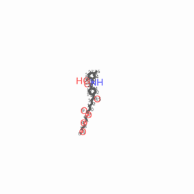 COCCOCCOC(=O)CCCCC(=O)c1ccc(C(=O)Nc2cc(C)ccc2O)cc1